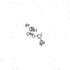 Cc1cc(-c2cnn(C)c2)cc(C2CCN(C(=O)c3cc(C(C)C)n[nH]3)C2)c1